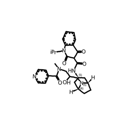 CC(C)N1C(=O)C(C(=O)N[C@@H]2C[C@H]3CC[C@@H](C2)N3CC(O)CN(C)C(=O)c2ccncc2)C(=O)c2ccccc21